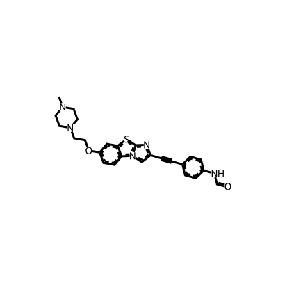 CN1CCN(CCOc2ccc3c(c2)sc2nc(C#Cc4ccc(NC=O)cc4)cn23)CC1